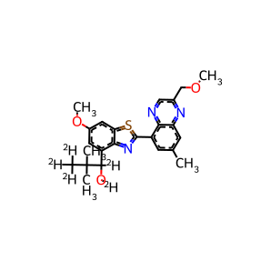 [2H]OC([2H])(c1cc(OC)cc2sc(-c3cc(C)cc4nc(COC)cnc34)nc12)C(C)(C)C([2H])([2H])[2H]